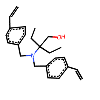 C=Cc1ccc(CN(Cc2ccc(C=C)cc2)C(CC)(CC)CO)cc1